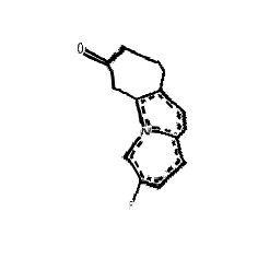 O=C1CCc2cc3ccc(F)cn3c2C1